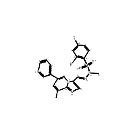 Cc1cc(-c2cccnc2)cn2c(C=NN(C)S(=O)(=O)c3ccc(F)cc3Br)cnc12